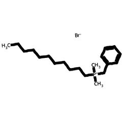 CCCCCCCCCCC[P+](C)(C)Cc1ccccc1.[Br-]